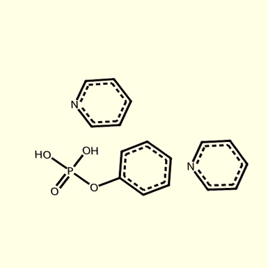 O=P(O)(O)Oc1ccccc1.c1ccncc1.c1ccncc1